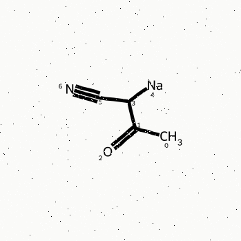 CC(=O)[CH]([Na])C#N